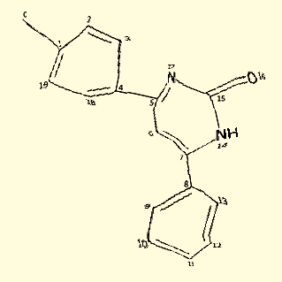 Cc1ccc(-c2cc(-c3ccccc3)[nH]c(=O)n2)cc1